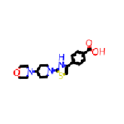 O=C(O)c1ccc(C2=CSC(N3CCC(N4CCOCC4)CC3)N2)cc1